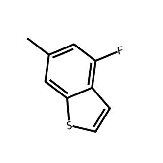 Cc1cc(F)c2ccsc2c1